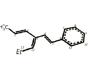 CC=CC(C=Cc1ccccc1)=CCC